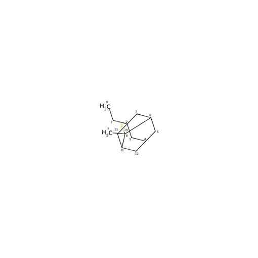 CCC12CC3CC(C1)C(C)(F)C(C3)C2